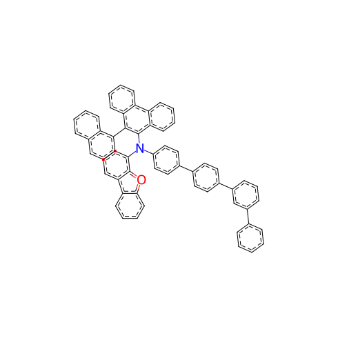 c1ccc(-c2cccc(-c3ccc(-c4ccc(N(c5c(-c6cccc7ccccc67)c6ccccc6c6ccccc56)c5cccc6c5oc5ccccc56)cc4)cc3)c2)cc1